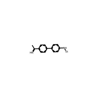 CCNc1ccc(-c2ccc(C(C)=N)cc2)cc1